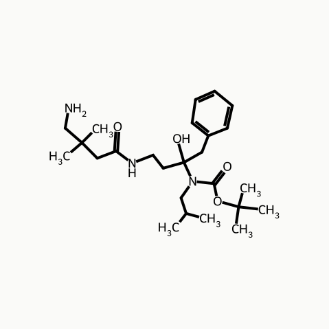 CC(C)CN(C(=O)OC(C)(C)C)C(O)(CCNC(=O)CC(C)(C)CN)Cc1ccccc1